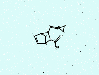 O=C(O)C1C2C=CC(C2)C1C=C1CC1